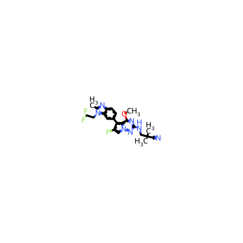 COc1nc(NCC(C)(C)C#N)nn2cc(F)c(-c3ccc4nc(C)n(CC(F)F)c4c3)c12